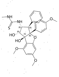 CNC(=S)N[C@H]1[C@@H](O)[C@@]2(O)c3c(OC)cc(OC)cc3O[C@@]2(c2ccc(OC)cc2)[C@@H]1c1ccccc1